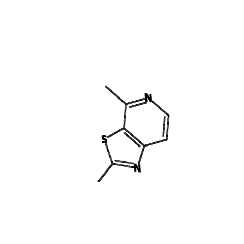 Cc1nc2ccnc(C)c2s1